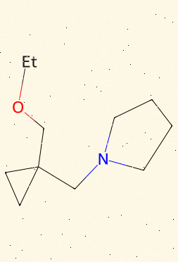 CCOCC1(CN2CCCC2)CC1